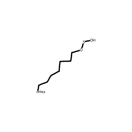 CCCCCCCCCCCCCOSO